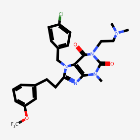 CN(C)CCn1c(=O)c2c(nc(CCc3cccc(OC(F)(F)F)c3)n2Cc2ccc(Cl)cc2)n(C)c1=O